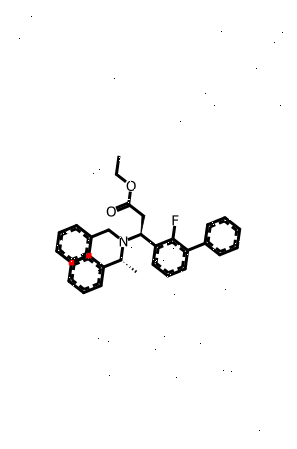 CCOC(=O)C[C@@H](c1cccc(-c2ccccc2)c1F)N(Cc1ccccc1)[C@H](C)c1ccccc1